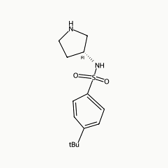 CC(C)(C)c1ccc(S(=O)(=O)N[C@@H]2CCNC2)cc1